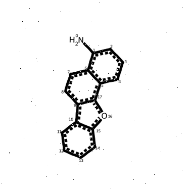 Nc1cccc2c1ccc1c3ccccc3oc21